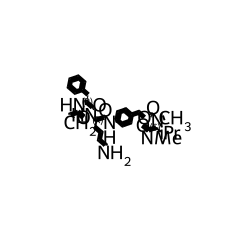 C=CC(=O)N[C@H](Cc1ccccc1)C(=O)N[C@H](CCCCN)C(=O)Nc1ccc(COC(=O)N(C)[C@H](C(=O)NC)C(C)C)cc1